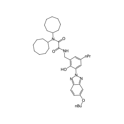 CCCCOc1ccc2nn(-c3cc(CCC)cc(CNC(=O)C(=O)N(C4CCCCCCC4)C4CCCCCCC4)c3O)nc2c1